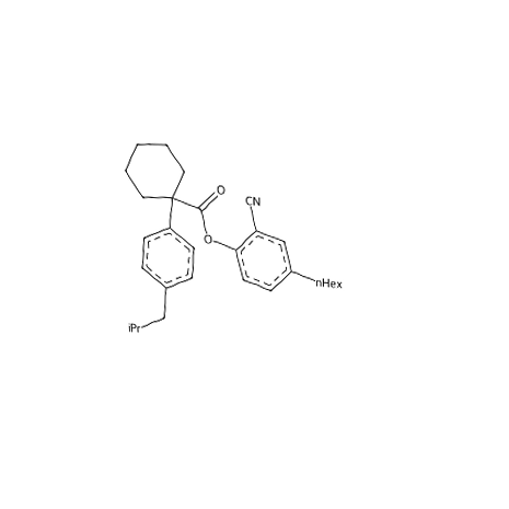 CCCCCCc1ccc(OC(=O)C2(c3ccc(CC(C)C)cc3)CCCCC2)c(C#N)c1